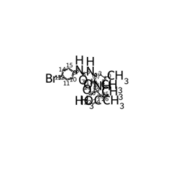 CC(C)C[C@@H](NC(=O)Nc1ccc(Br)cc1)C(=O)NC(C(=O)O)C(C)(C)C